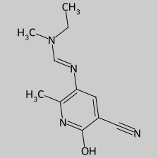 CCN(C)/C=N/c1cc(C#N)c(O)nc1C